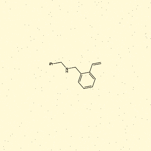 C=Cc1ccccc1CNCC(C)C